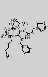 CC(C)[C@@H](NC(=O)[C@H](Cc1ccccc1)NC(=O)CCc1ccccc1)P(=O)(O)OC(CCCCN)C(=O)O